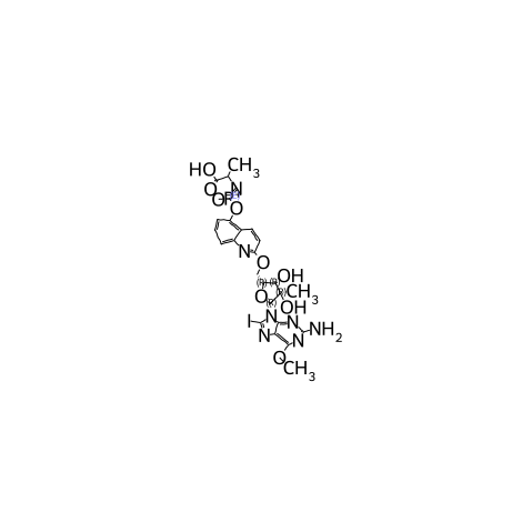 COc1nc(N)nc2c1nc(I)n2[C@@H]1O[C@H](COc2ccc3c(O/[P+]([O-])=N/C(C)C(=O)O)cccc3n2)[C@@H](O)[C@@]1(C)O